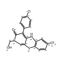 O=c1c(-c2ccc(Cl)cc2)c2c(cn1CO)Sc1ccc(C(F)(F)F)cc1N2